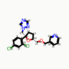 Clc1ccc([C@@]2(Cn3cncn3)CC[C@H](COCc3cccnc3)O2)c(Cl)c1